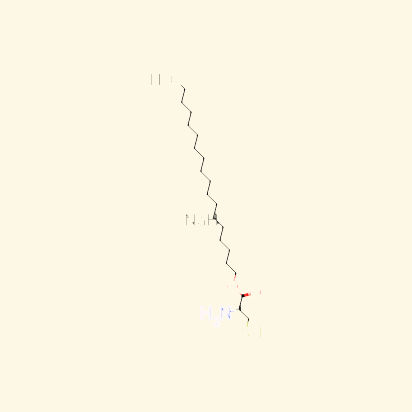 CCCCCCCCCCCCCCCCCCOC(=O)[C@@H](N)CS.[NaH]